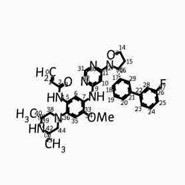 C=CC(=O)Nc1cc(Nc2cc(N3OCC[C@@H]3c3cccc(-c4cccc(F)c4)c3)ncn2)c(OC)cc1N1C[C@@H](C)N[C@@H](C)C1